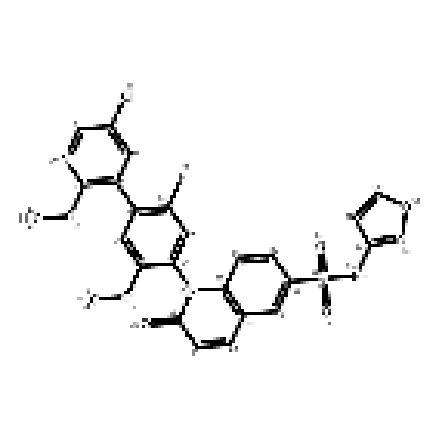 COc1cc(-c2cc(Cl)cnc2OC)c(F)cc1-n1c(=O)ccc2cc(S(=O)(=O)Nc3ccon3)ccc21